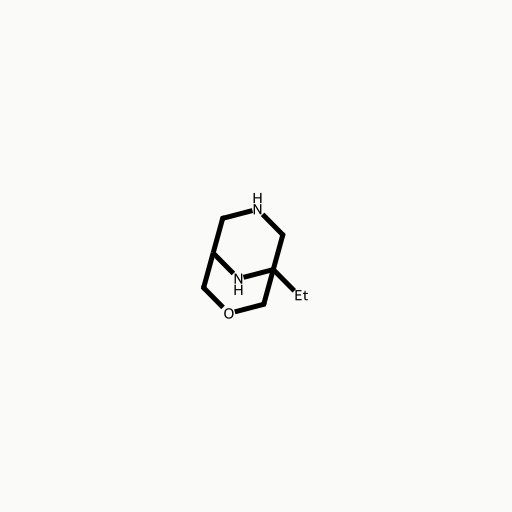 CCC12CNCC(COC1)N2